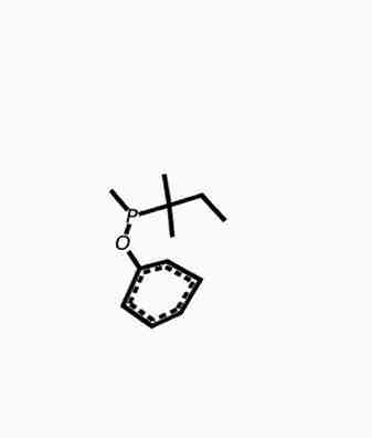 CCC(C)(C)P(C)Oc1ccccc1